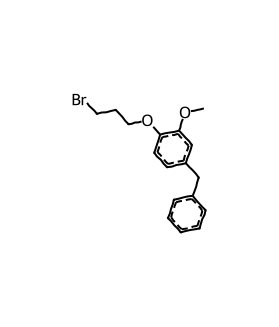 COc1cc(Cc2ccccc2)ccc1OCCCBr